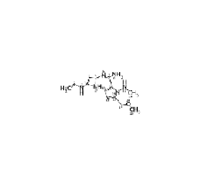 C=CNC1=CC(/N=C(/N)c2ccc(COC)n2NC)N1